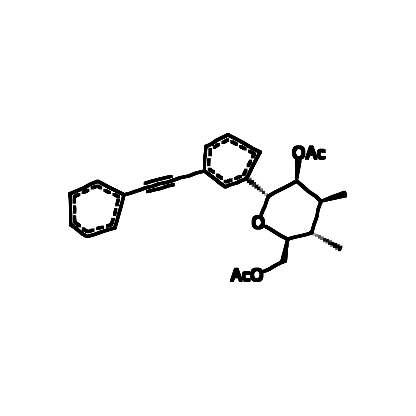 CC(=O)OC[C@H]1O[C@H](c2cccc(C#Cc3ccccc3)c2)[C@@H](OC(C)=O)[C@@H](C)[C@@H]1C